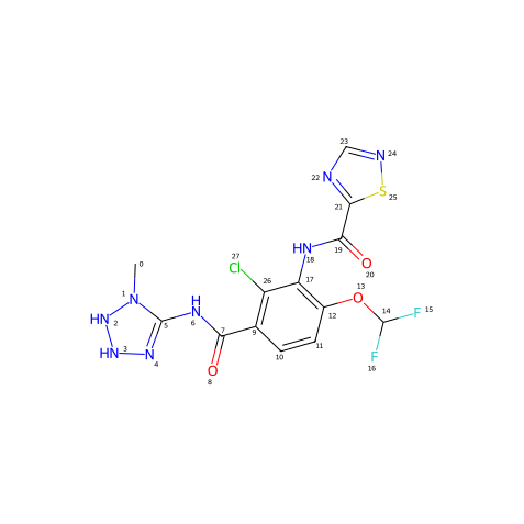 CN1NNN=C1NC(=O)c1ccc(OC(F)F)c(NC(=O)c2ncns2)c1Cl